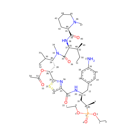 CCOP(=O)(OCC)[C@H](C)C[C@H](Cc1ccc(N)cc1)NC(=O)c1csc([C@@H](C[C@H](C(C)C)N(C)C(=O)[C@@H](NC(=O)[C@H]2CCCCN2C)[C@@H](C)CC)OC(C)=O)n1